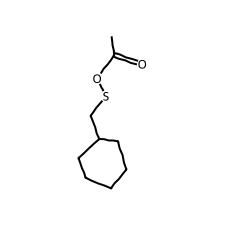 CC(=O)OSCC1CCCCC1